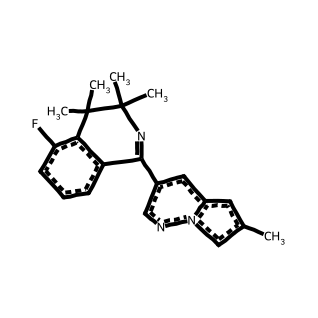 Cc1cc2cc(C3=NC(C)(C)C(C)(C)c4c(F)cccc43)cnn2c1